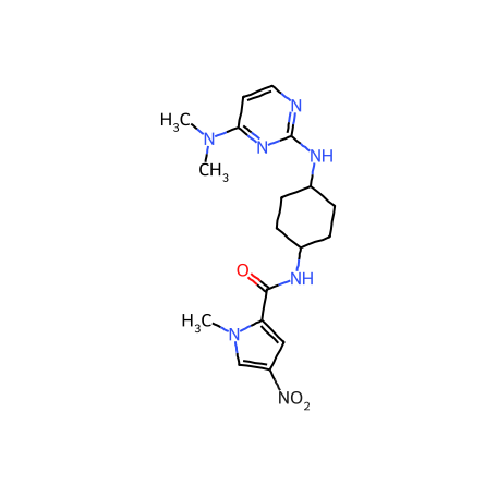 CN(C)c1ccnc(NC2CCC(NC(=O)c3cc([N+](=O)[O-])cn3C)CC2)n1